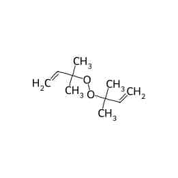 C=CC(C)(C)OOC(C)(C)C=C